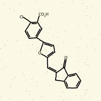 O=C(O)c1cc(-c2ccc(C=C3Cc4ccccc4C3=O)o2)ccc1Cl